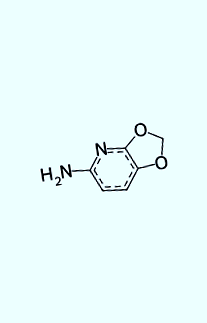 Nc1ccc2c(n1)OCO2